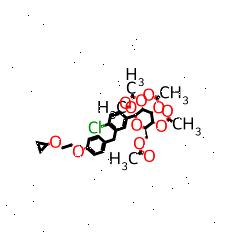 CO[C@@]1(c2ccc(Cl)c(Cc3ccc(OCCOC4CC4)cc3)c2)O[C@H](COC(C)=O)[C@@H](OC(C)=O)[C@H](OC(C)=O)[C@H]1OC(C)=O